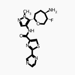 Cn1ncc(NC(=O)c2csc(-c3cnccn3)n2)c1[C@@H]1CC[C@@H](N)[C@H](F)CO1